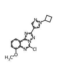 COc1cccc2c1nc(Cl)n1nc(-c3cnn(C4CCC4)c3)nc21